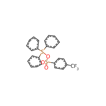 O=S(=O)(OS(c1ccccc1)(c1ccccc1)c1ccccc1)c1ccc(C(F)(F)F)cc1